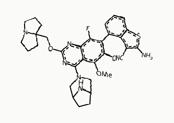 COc1c(Cl)c(-c2cccc3sc(N)c(C#N)c23)c(F)c2nc(OCC34CCCN3CCC4)nc(N3CC4CCC(C3)N4)c12